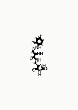 N=C(/C=N\Nc1ccc(F)cc1F)C(=O)NC[C@H]1NC(=O)NC1=O